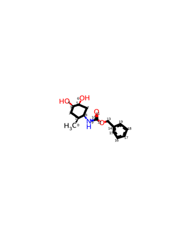 C[C@H]1C[C@@H](O)[C@@H](O)C[C@H]1NC(=O)OCc1ccccc1